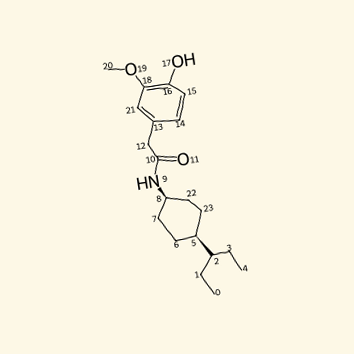 CCC(CC)[C@H]1CC[C@@H](NC(=O)Cc2ccc(O)c(OC)c2)CC1